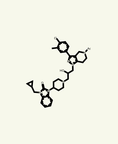 CC(=O)N1CCc2c(c(-c3ccc(Cl)c(C)c3)nn2CC(O)CN2CCC(n3c(=O)n(CC4CC4)c4ccccc43)CC2)C1